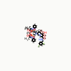 CC(C)OC(=O)[C@@H](C)NP(=O)(CCN(CCP(=O)(N[C@H](C)C(=O)OC(C)C)Oc1ccccc1)C1Cn2cc(C(=O)NCc3ccc(F)cc3F)c(=O)c(O)c2C(=O)C1(C)C)Oc1ccccc1